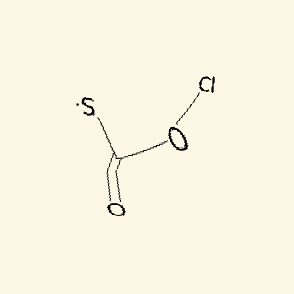 O=C([S])OCl